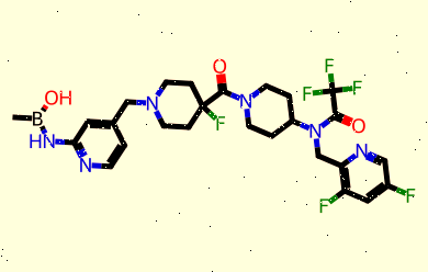 CB(O)Nc1cc(CN2CCC(F)(C(=O)N3CCC(N(Cc4ncc(F)cc4F)C(=O)C(F)(F)F)CC3)CC2)ccn1